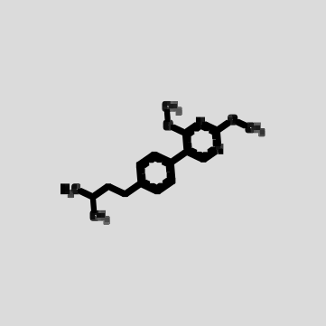 COc1ncc(-c2ccc(CCC(C)C)cc2)c(OC)n1